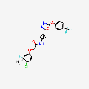 CC1(F)C=C(OCC(=O)NC23CC(c4nnc(Oc5ccc(C(F)(F)F)cc5)o4)(C2)C3)C=CC1Cl